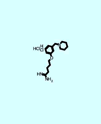 Cl.Cl.N=C(N)CCCCOc1cccc(CN2CCCCC2)c1